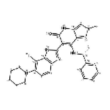 C[C@@H](Nc1c(-c2nc3ccc(N4CCCCC4)c(F)c3[nH]2)c(=O)[nH]c2cn(C)nc12)c1ncccn1